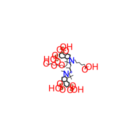 CC[N+]1=C(/C=C(C)/C=C2/N(CCCCCC(=O)O)c3ccc4c(S(=O)(=O)O)cc(S(=O)(=O)O)cc4c3C2(C)CCOCCOCCOC)C(C)(C)c2c1ccc1c(S(=O)(=O)O)cc(S(=O)(=O)O)cc21